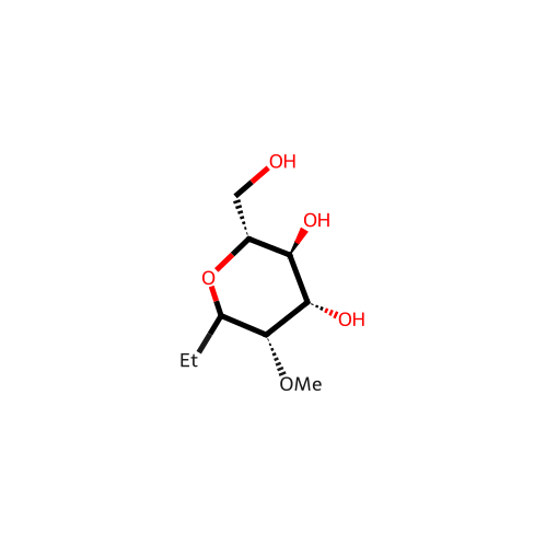 CCC1O[C@H](CO)[C@@H](O)[C@H](O)[C@@H]1OC